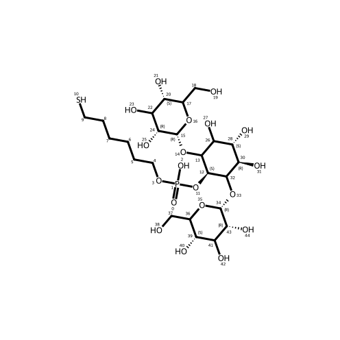 O=P(O)(OCCCCCCS)O[C@H]1C(O[C@H]2OC(CO)[C@@H](O)C(O)[C@H]2O)C(O)[C@H](O)[C@@H](O)C1O[C@H]1OC(CO)[C@@H](O)C(O)[C@H]1O